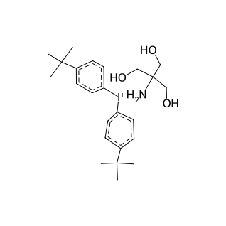 CC(C)(C)c1ccc([I+]c2ccc(C(C)(C)C)cc2)cc1.NC(CO)(CO)CO